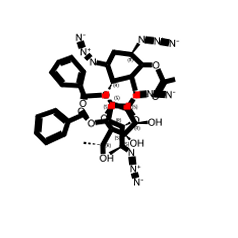 CC(=O)OC1C(O[C@@H]2O[C@H]([C@H](C)N=[N+]=[N-])C(OC(=O)c3ccccc3)[C@@H]2OC(=O)c2ccccc2)[C@H](O[C@H]2OC([C@@H](C)O)[C@@H](O)[C@H](O)C2N=[N+]=[N-])C(N=[N+]=[N-])C[C@H]1N=[N+]=[N-]